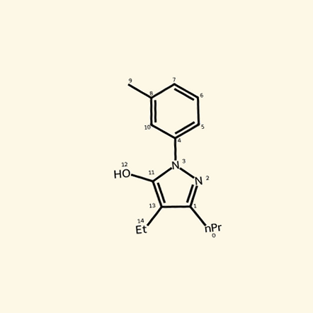 CCCc1nn(-c2cccc(C)c2)c(O)c1CC